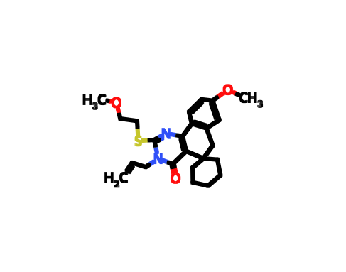 C=CCn1c(SCCOC)nc2c(c1=O)C1(CCCCC1)Cc1cc(OC)ccc1-2